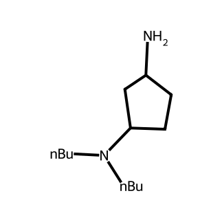 CCCCN(CCCC)C1CCC(N)C1